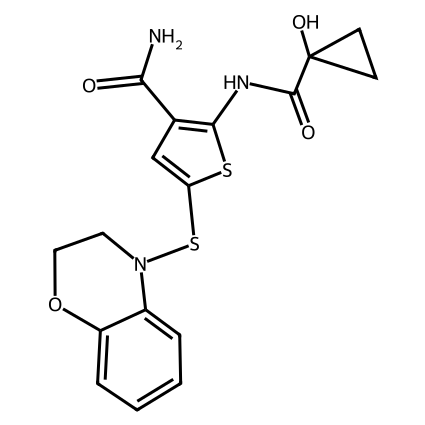 NC(=O)c1cc(SN2CCOc3ccccc32)sc1NC(=O)C1(O)CC1